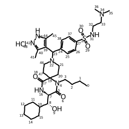 CCCCN1C(=O)[C@@H]([C@H](O)C2CCCCC2)NC(=O)C12CCN(C(c1ccc(S(=O)(=O)NCCN(C)C)cc1)c1c(C)n[nH]c1C)CC2.Cl